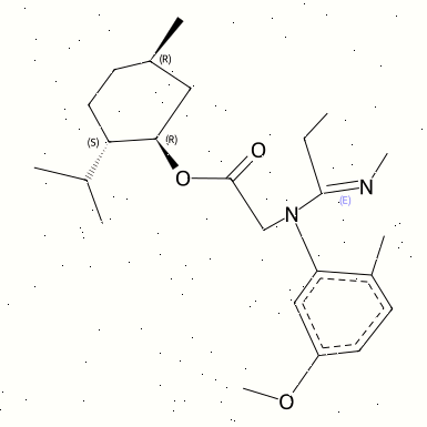 CC/C(=N\C)N(CC(=O)O[C@@H]1C[C@H](C)CC[C@H]1C(C)C)c1cc(OC)ccc1C